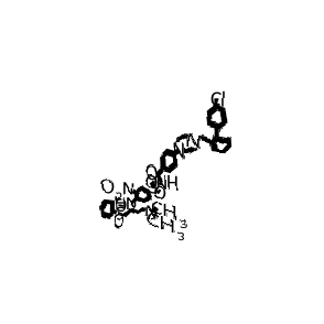 CN(C)CCC(CS(=O)(=O)c1ccccc1)Nc1ccc(S(=O)(=O)NC(=O)c2ccc(N3CCN(Cc4ccccc4-c4ccc(Cl)cc4)CC3)cc2)cc1[N+](=O)[O-]